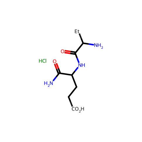 CCC(N)C(=O)NC(CCC(=O)O)C(N)=O.Cl